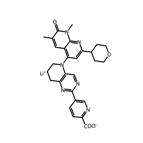 Cc1cc2c(N3CCCc4nc(-c5ccc(C(=O)[O-])nc5)ncc43)cc(C3CCOCC3)nc2n(C)c1=O.[Li+]